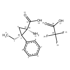 CC[C@]1(c2ccccc2)C[C@@]1(N)C(=O)O.O=C(O)C(F)(F)F